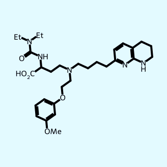 CCN(CC)C(=O)NC(CCN(CCCCc1ccc2c(n1)NCCC2)CCOc1cccc(OC)c1)C(=O)O